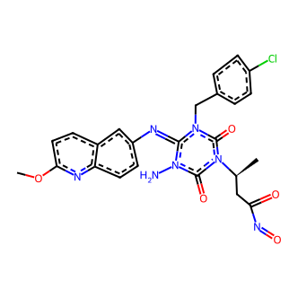 COc1ccc2cc(/N=c3\n(N)c(=O)n([C@@H](C)CC(=O)N=O)c(=O)n3Cc3ccc(Cl)cc3)ccc2n1